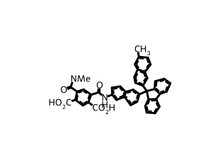 CNC(=O)c1cc(C(=O)Nc2ccc3cc(C4(c5ccc6cc(C)ccc6c5)c5ccccc5-c5ccccc54)ccc3c2)c(C(=O)O)cc1C(=O)O